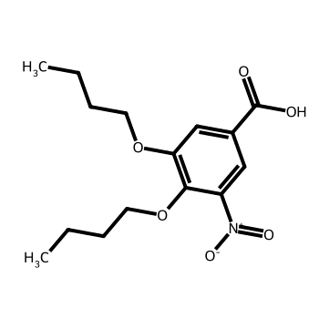 CCCCOc1cc(C(=O)O)cc([N+](=O)[O-])c1OCCCC